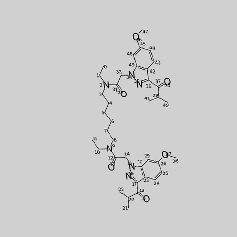 CCN(CCCCCCN(CC)C(=O)Cn1nc(C(=O)C(C)C)c2ccc(OC)cc21)C(=O)Cn1nc(C(=O)C(C)C)c2ccc(OC)cc21